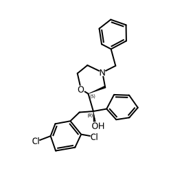 O[C@](Cc1cc(Cl)ccc1Cl)(c1ccccc1)[C@@H]1CN(Cc2ccccc2)CCO1